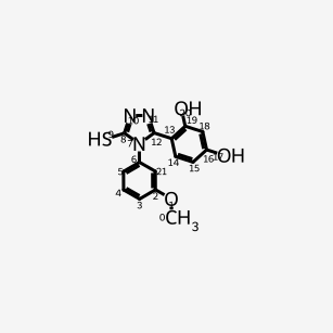 COc1cccc(-n2c(S)nnc2-c2ccc(O)cc2O)c1